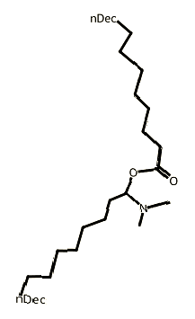 CCCCCCCCCCCCCCCCCC(=O)OC(CCCCCCCCCCCCCCCCC)N(C)C